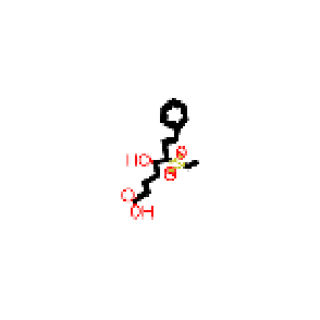 CCS(=O)(=O)C(/C=C/c1ccccc1)C(O)CCCC(=O)O